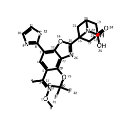 CON=C(C)c1cc(-c2nccs2)c2oc(C34CNCC(C3)N4C(=O)O)nc2c1OC(F)(F)F